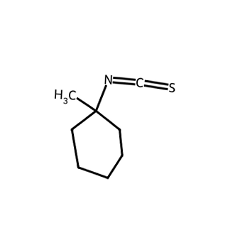 CC1(N=C=S)CCCCC1